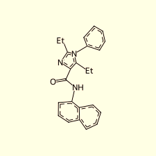 CCc1nc(C(=O)Nc2cccc3ccccc23)c(CC)n1-c1ccccc1